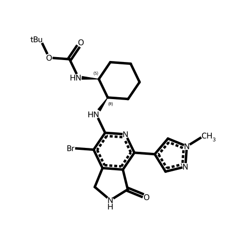 Cn1cc(-c2nc(N[C@@H]3CCCC[C@@H]3NC(=O)OC(C)(C)C)c(Br)c3c2C(=O)NC3)cn1